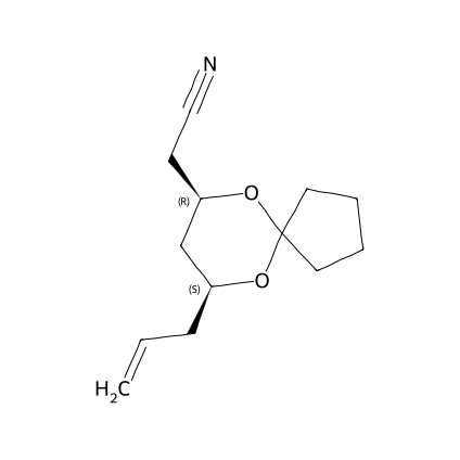 C=CC[C@H]1C[C@@H](CC#N)OC2(CCCC2)O1